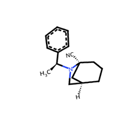 C[C@@H](c1ccccc1)N1C[C@@H]2CCC[C@@]1(C#N)C2